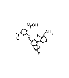 CC(=O)c1ccc(CC(=O)O)c(OCc2cc(-c3cccc(CN)c3F)c3oc(F)cc3c2)c1